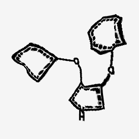 c1ccc(Oc2c[nH]cc2Oc2ccccc2)cc1